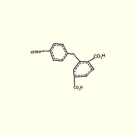 CCCCCCc1ccc(Cc2cc(C(=O)O)ccc2C(=O)O)cc1